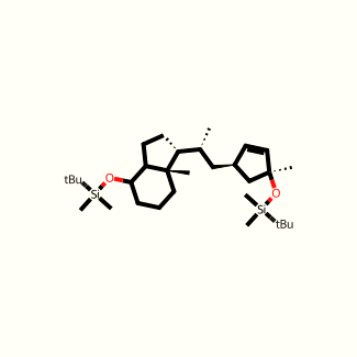 C[C@H](C[C@H]1C=C[C@@](C)(O[Si](C)(C)C(C)(C)C)C1)[C@H]1CCC2C(O[Si](C)(C)C(C)(C)C)CCC[C@]21C